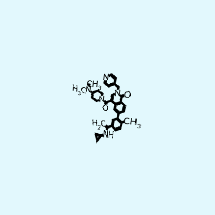 C=C(NC1CC1)c1ccc(C)c(-c2ccc3c(=O)n(Cc4ccncc4)cc(C(=O)N4CCC(N(C)C)CC4)c3c2)c1